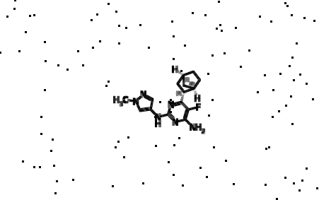 Cn1cc(Nc2nc(N)c(F)c([C@@H]3C[C@H]4CC[C@@H]3C4)n2)cn1